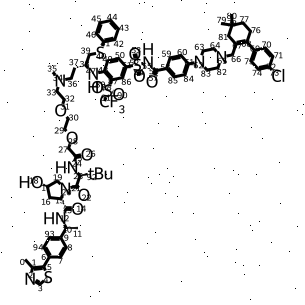 Cc1ncsc1-c1ccc([C@H](C)NC(=O)[C@@H]2C[C@@H](O)CN2C(=O)[C@@H](NC(=O)COCCOCCN(C)CC[C@H](CSc2ccccc2)Nc2ccc(S(=O)(=O)NC(=O)c3ccc(N4CCN(CC5=C(c6ccc(Cl)cc6)CCC(C)(C)C5)CC4)cc3)cc2S(=O)(=O)C(F)(F)F)C(C)(C)C)cc1